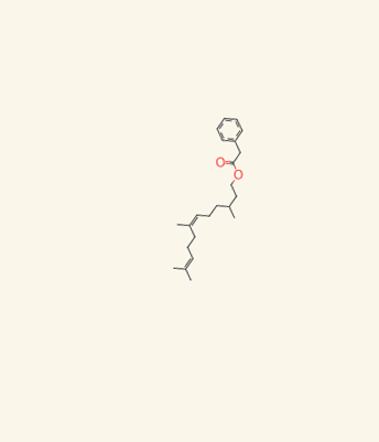 CC(C)=CCCC(C)=CCCC(C)CCOC(=O)Cc1ccccc1